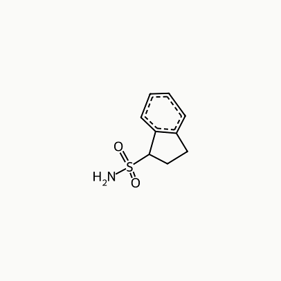 NS(=O)(=O)C1CCc2ccccc21